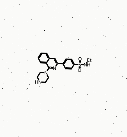 CCNS(=O)(=O)c1ccc(-c2cc3ccccc3c(N3CCNCC3)n2)cc1